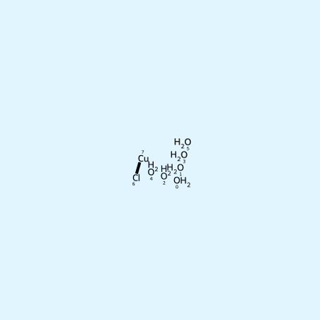 O.O.O.O.O.O.[Cl][Cu]